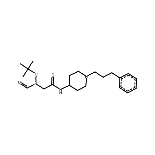 CC(C)(C)ON(C=O)CC(=O)NC1CCN(CCCc2ccccc2)CC1